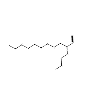 C=CC(CCCC)CCCCCCCCC